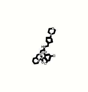 O=C(COCC1CCCCN1S(=O)(=O)c1c(Cl)cc(Cl)cc1Cl)NCc1ccc(N2CCOCC2)cc1